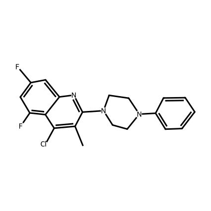 Cc1c(N2CCN(c3ccccc3)CC2)nc2cc(F)cc(F)c2c1Cl